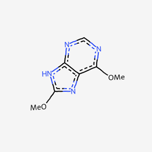 COc1nc2c(OC)ncnc2[nH]1